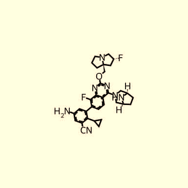 N#Cc1cc(N)cc(-c2ccc3c(N4C[C@H]5CC[C@@H](C4)N5)nc(OC[C@@]45CCCN4C[C@H](F)C5)nc3c2F)c1C1CC1